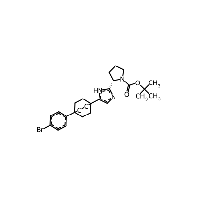 CC(C)(C)OC(=O)N1CCC[C@H]1c1ncc(C23CCC(c4ccc(Br)cc4)(CC2)CC3)[nH]1